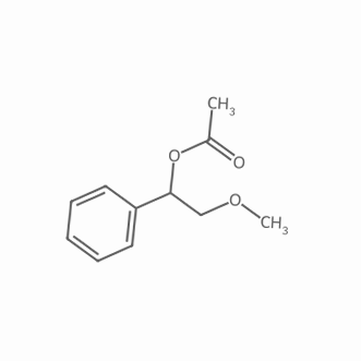 COCC(OC(C)=O)c1ccccc1